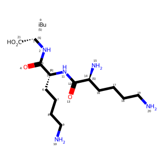 CC[C@H](C)[C@H](NC(=O)[C@@H](CCCCN)NC(=O)[C@@H](N)CCCCN)C(=O)O